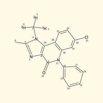 [2H]C([2H])([2H])n1c(C)nc2c(=O)n(-c3ccccc3)c3cc(Cl)ccc3c21